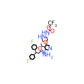 NN(C(=O)CC(c1ccc(F)cc1)c1ccc(F)cc1)c1cncc(F)c1CC[C@@H]1CN[C@H](CNC(=O)OCC(F)(F)F)CO1